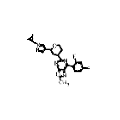 Cc1nc2c(-c3ccc(F)cc3F)nc(C3CCOC(c4cnn(C5CC5)c4)C3)nc2o1